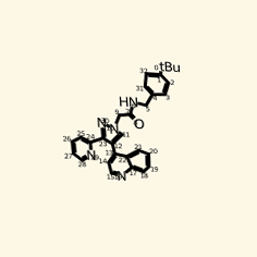 CC(C)(C)c1ccc(CNC(=O)Cn2cc(-c3ccnc4ccccc34)c(-c3ccccn3)n2)cc1